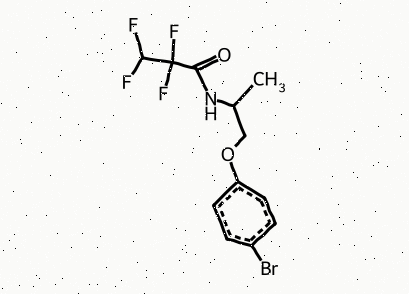 CC(COc1ccc(Br)cc1)NC(=O)C(F)(F)C(F)F